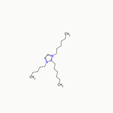 CCCCCCc1n(CCCCCC)cc[n+]1CCCCC